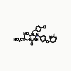 Cc1nccc(Oc2ccc(/N=C3\NC(=O)N(C[C@H](C)C(=O)O)C(O)N3Cc3ccc(Cl)cc3)cc2)n1